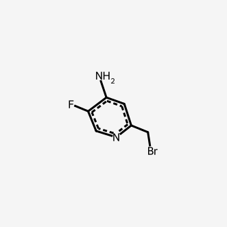 Nc1cc(CBr)ncc1F